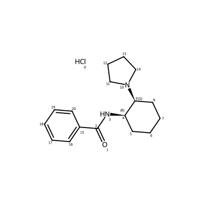 Cl.O=C(N[C@@H]1CCCC[C@@H]1N1CCCC1)c1ccccc1